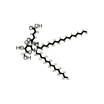 CCCCCCCCCCCCCCCCCC(=O)N(CCCCCCCCCCCCCC)[C@@H]1O[C@H](CO)[C@@H](O)[C@H](O)[C@H]1NC(=O)CCCC(=O)O